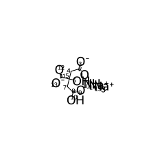 N.O=C([O-])CC(O)(CC(=O)O)C(=O)[O-].[Na+].[Na+]